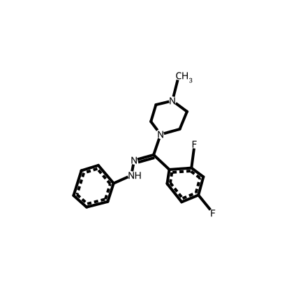 CN1CCN(/C(=N/Nc2ccccc2)c2ccc(F)cc2F)CC1